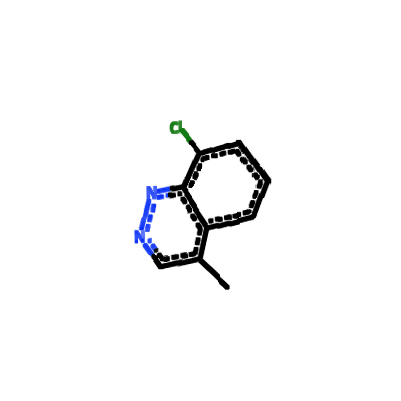 Cc1cnnc2c(Cl)cccc12